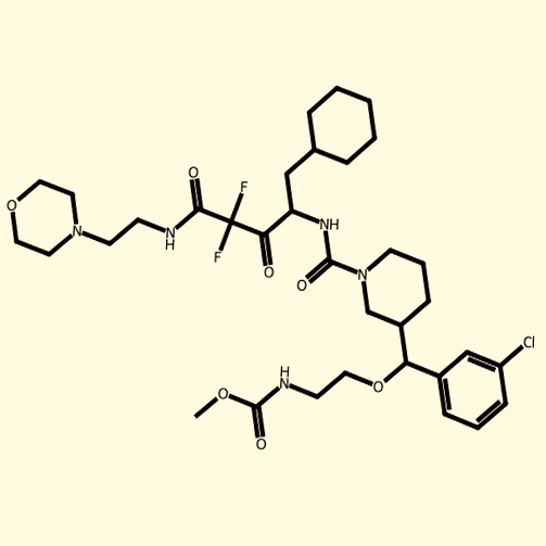 COC(=O)NCCOC(c1cccc(Cl)c1)C1CCCN(C(=O)NC(CC2CCCCC2)C(=O)C(F)(F)C(=O)NCCN2CCOCC2)C1